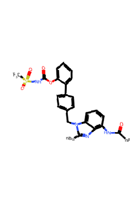 CCCCc1nc2c(NC(=O)CCC)cccc2n1Cc1ccc(-c2ccccc2OC(=O)NS(=O)(=O)C(F)(F)F)cc1